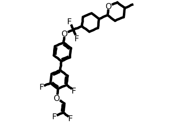 CC1CCC(C2CCC(C(F)(F)Oc3ccc(-c4cc(F)c(OC=C(F)F)c(F)c4)cc3)CC2)OC1